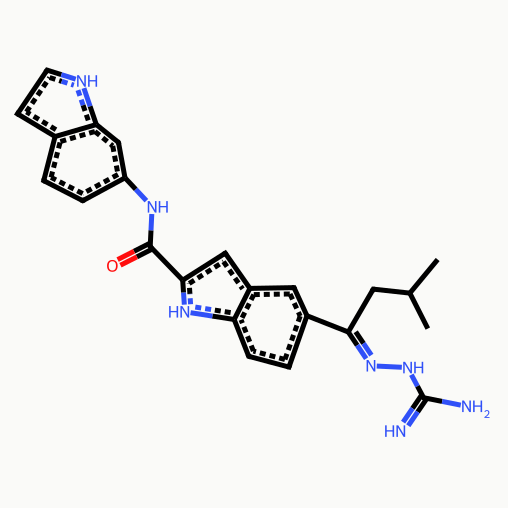 CC(C)C/C(=N\NC(=N)N)c1ccc2[nH]c(C(=O)Nc3ccc4cc[nH]c4c3)cc2c1